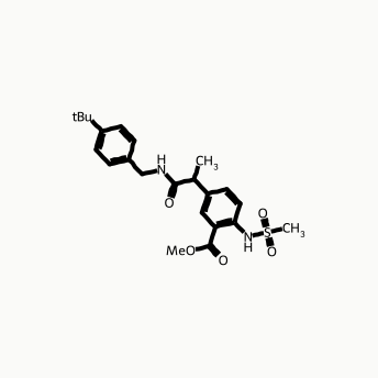 COC(=O)c1cc(C(C)C(=O)NCc2ccc(C(C)(C)C)cc2)ccc1NS(C)(=O)=O